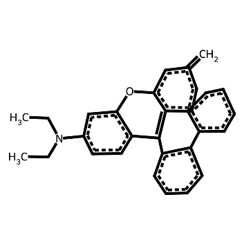 C=c1ccc2c(c1)Oc1cc(N(CC)CC)ccc1C=2c1ccccc1-c1ccccc1